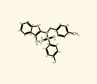 Cc1ccc(CN(c2sc3ccccc3c2C)S(=O)(=O)c2ccc(I)cc2)cc1